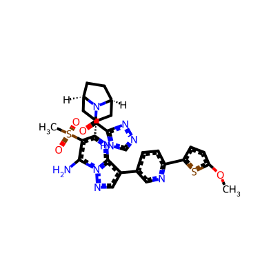 COc1ccc(-c2ccc(-c3cnn4c(N)c(S(C)(=O)=O)c([C@@H]5C[C@H]6CC[C@@H](C5)N6C(=O)c5nnc[nH]5)nc34)cn2)s1